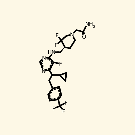 NC(=O)CN1CC[C@@H](CNc2ncnc(C(Cc3ccc(C(F)(F)F)cc3)C3CC3)c2F)C(F)(F)C1